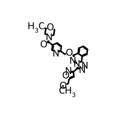 COCc1cc(-c2nnc3c4ccccc4c(OCc4ccc(C(=O)N5CCOC(C)C5)cn4)nn23)no1